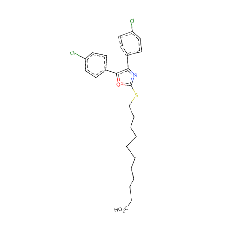 O=C(O)CCCCCCCCCCSc1nc(-c2ccc(Cl)cc2)c(-c2ccc(Cl)cc2)o1